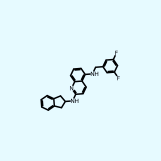 Fc1cc(F)cc(CNc2cccc3nc(NC4Cc5ccccc5C4)ccc23)c1